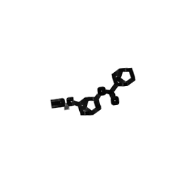 O=C(OC1=CC2CC(C(=O)O)C1C2)C1CC2CCC1C2